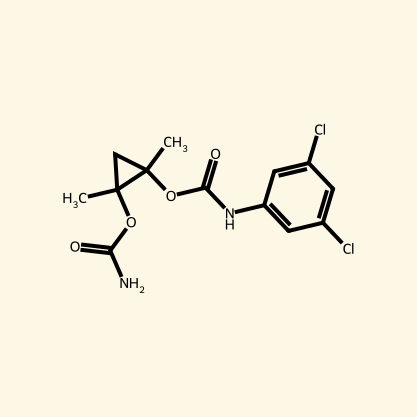 CC1(OC(N)=O)CC1(C)OC(=O)Nc1cc(Cl)cc(Cl)c1